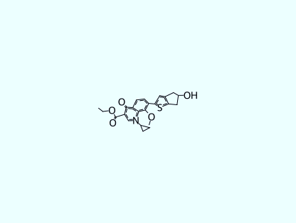 CCOC(=O)c1cn(C2CC2)c2c(OC)c(-c3cc4c(s3)CC(O)C4)ccc2c1=O